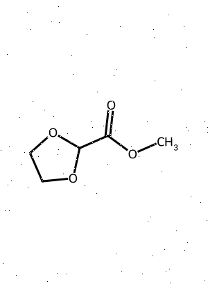 COC(=O)C1OCCO1